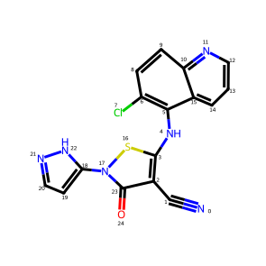 N#Cc1c(Nc2c(Cl)ccc3ncccc23)sn(-c2ccn[nH]2)c1=O